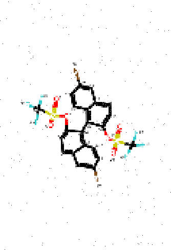 O=S(=O)(Oc1ccc2cc(Br)ccc2c1-c1c(OS(=O)(=O)C(F)(F)F)ccc2cc(Br)ccc12)C(F)(F)F